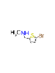 CNCc1ccc(Br)s1